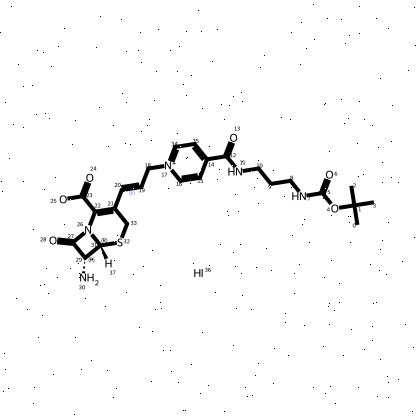 CC(C)(C)OC(=O)NCCCNC(=O)c1cc[n+](C/C=C/C2=C(C(=O)[O-])N3C(=O)[C@@H](N)[C@H]3SC2)cc1.I